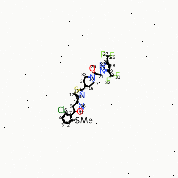 CSc1cccc(Cl)c1C1CC(c2csc(C3CCN(C(=O)Cn4nc(C(F)F)cc4C(F)F)CC3)n2)=NO1